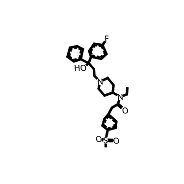 CCN(C(=O)Cc1ccc(S(C)(=O)=O)cc1)C1CCN(CCC(O)(c2ccccc2)c2ccc(F)cc2)CC1